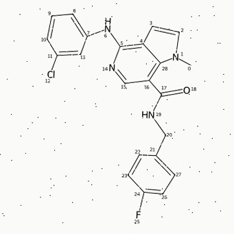 Cn1ccc2c(Nc3cccc(Cl)c3)ncc(C(=O)NCc3ccc(F)cc3)c21